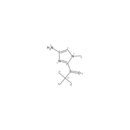 Cn1cc(N)nc1C(=O)C(C)(C)C